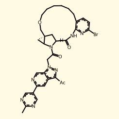 CC(=O)c1nn(CC(=O)N2C3C[C@@]34COCCCCCCc3ccc(Br)nc3NC(=O)[C@@H]2C4)c2cnc(-c3cnc(C)nc3)cc12